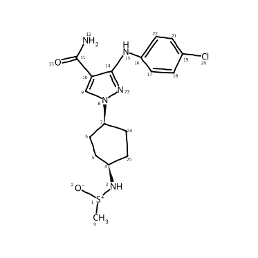 C[S+]([O-])N[C@H]1CC[C@@H](n2cc(C(N)=O)c(Nc3ccc(Cl)cc3)n2)CC1